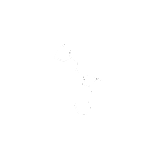 O=c1oc(OCc2ccccc2)cn1Cc1ccccc1